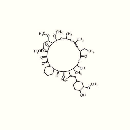 CCC1/C=C(\C)CC(C)CC(OC)C2C(=O)C(O)(C(=O)C(=O)N3CCCCC3C(=O)C(=O)C(C(C)=CC3CCC(O)C(OC)C3)C(C)C(O)CC1=O)C(C)CC2OC